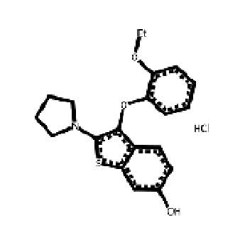 CCOc1ccccc1Oc1c(N2CCCC2)sc2cc(O)ccc12.Cl